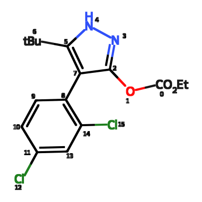 CCOC(=O)Oc1n[nH]c(C(C)(C)C)c1-c1ccc(Cl)cc1Cl